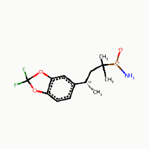 C[C@@H](CC(C)(C)[S+](N)[O-])c1ccc2c(c1)OC(F)(F)O2